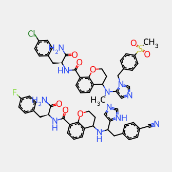 CN(c1cncn1Cc1ccc(S(C)(=O)=O)cc1)C1CCOc2c(C(=O)N[C@@H](Cc3ccc(Cl)cc3)C(N)=O)cccc21.N#Cc1ccc(CC(NC2CCOc3c(C(=O)N[C@@H](Cc4ccc(F)cc4)C(N)=O)cccc32)c2cnc[nH]2)cc1